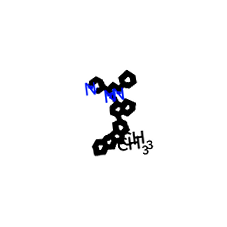 CC1(C)c2ccc(-c3ccc(-c4nc(-c5ccccc5)cc(-c5cccnc5)n4)c4ccccc34)cc2-c2cc3ccccc3cc21